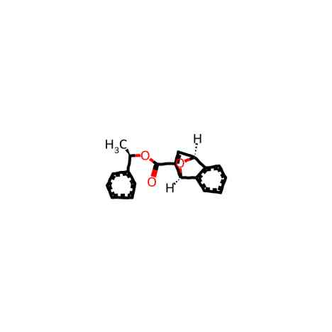 C[C@@H](OC(=O)C1=C[C@@H]2O[C@H]1c1ccccc12)c1ccccc1